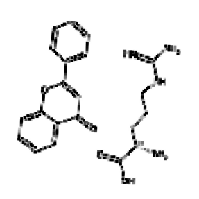 N=C(N)NCCC[C@H](N)C(=O)O.O=c1cc(-c2ccccc2)oc2ccccc12